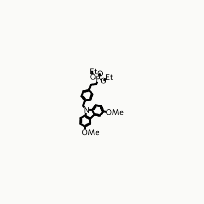 CCOP(=O)(CCc1ccc(Cn2c3ccc(OC)cc3c3cc(OC)ccc32)cc1)OCC